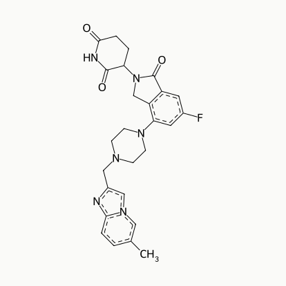 Cc1ccc2nc(CN3CCN(c4cc(F)cc5c4CN(C4CCC(=O)NC4=O)C5=O)CC3)cn2c1